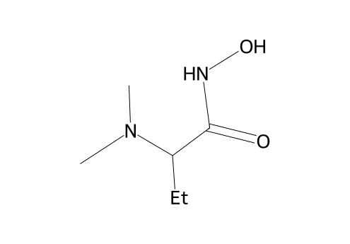 CCC(C(=O)NO)N(C)C